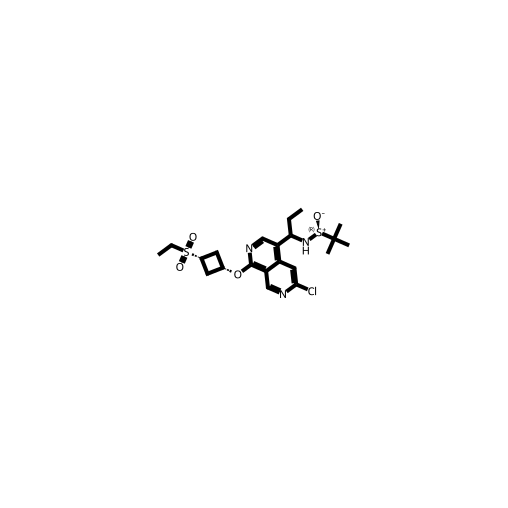 CCC(N[S@@+]([O-])C(C)(C)C)c1cnc(O[C@H]2C[C@@H](S(=O)(=O)CC)C2)c2cnc(Cl)cc12